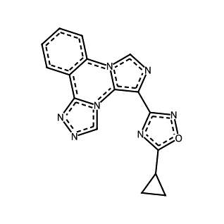 c1ccc2c(c1)c1nncn1c1c(-c3noc(C4CC4)n3)ncn21